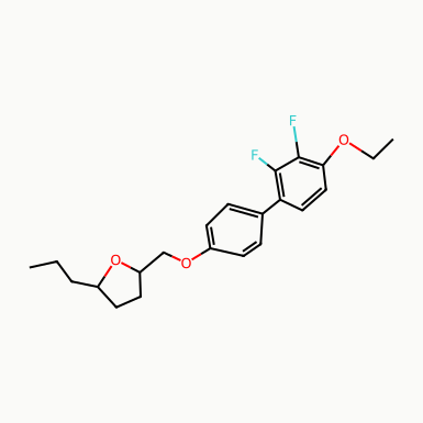 CCCC1CCC(COc2ccc(-c3ccc(OCC)c(F)c3F)cc2)O1